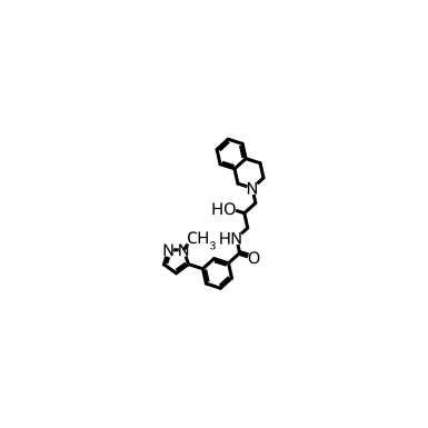 Cn1nccc1-c1cccc(C(=O)NCC(O)CN2CCc3ccccc3C2)c1